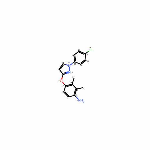 Cc1c(N)ccc(Oc2ccn(-c3ccc(Cl)cc3)n2)c1C